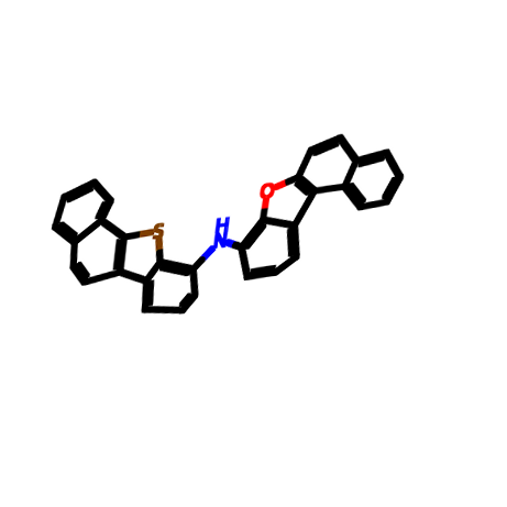 c1ccc2c(c1)ccc1c3cccc(Nc4cccc5c4oc4ccc6ccccc6c45)c3sc21